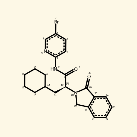 O=C(Nc1ccc(Br)cn1)[C@H](CC1CCCCC1)N1Cc2ccccc2C1=O